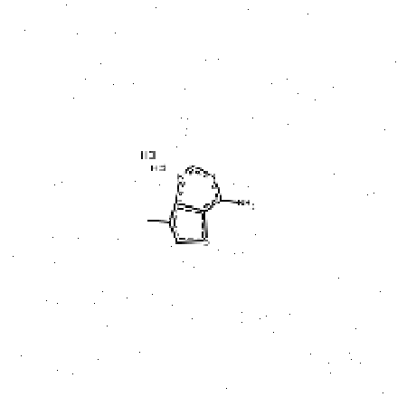 Cc1csc2c(N)ncnc12.Cl.Cl